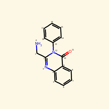 NCc1nc2ccccc2c(=O)n1-c1ccccc1